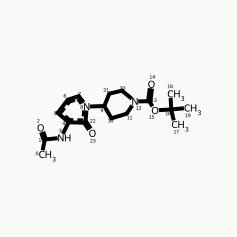 CC(=O)Nc1cccn(C2CCN(C(=O)OC(C)(C)C)CC2)c1=O